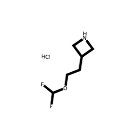 Cl.FC(F)OCCC1CNC1